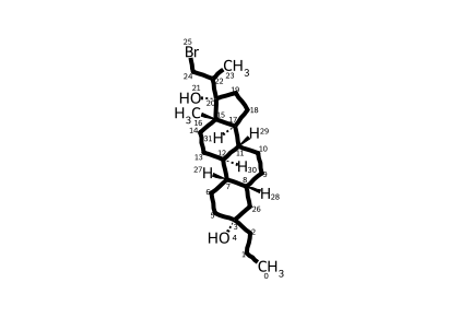 CCC[C@@]1(O)CC[C@H]2[C@H](CC[C@@H]3[C@@H]2CC[C@@]2(C)[C@H]3CC[C@]2(O)C(C)CBr)C1